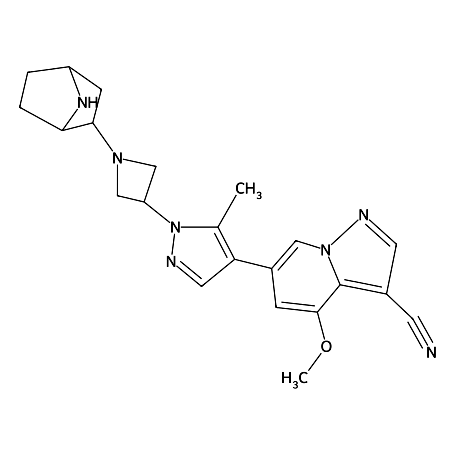 COc1cc(-c2cnn(C3CN(C4CC5CCC4N5)C3)c2C)cn2ncc(C#N)c12